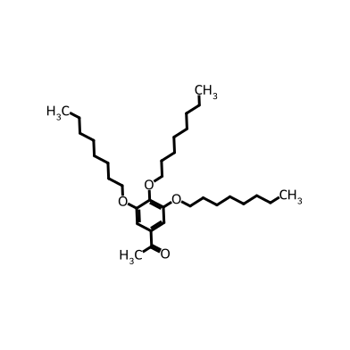 CCCCCCCCOc1cc(C(C)=O)cc(OCCCCCCCC)c1OCCCCCCCC